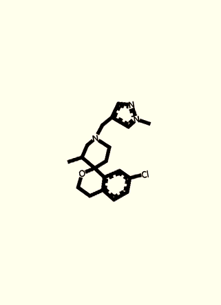 CC1CN(Cc2cnn(C)c2)CCC12OCCc1ccc(Cl)cc12